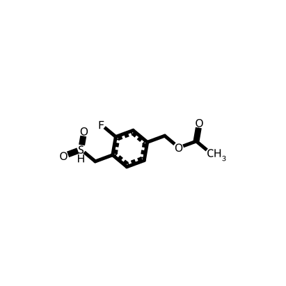 CC(=O)OCc1ccc(C[SH](=O)=O)c(F)c1